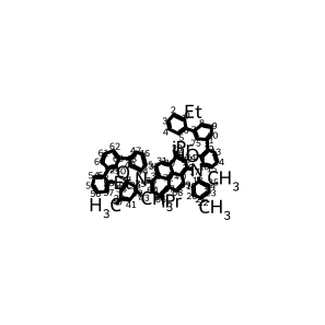 CCc1ccccc1-c1cccc(-c2cccc(N(c3ccc(C)cc3C)c3cc(C(C)C)c4ccc5c(N(c6ccc(C)cc6C)c6cccc7c6oc6c(-c8ccccc8CC)cccc67)cc(C(C)C)c6ccc3c4c65)c2O)c1